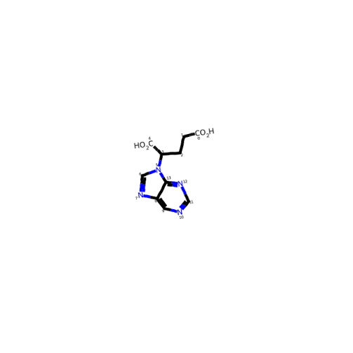 O=C(O)CCC(C(=O)O)n1cnc2cncnc21